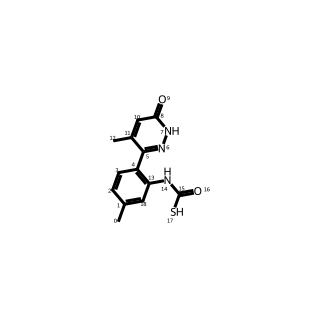 Cc1ccc(-c2n[nH]c(=O)cc2C)c(NC(=O)S)c1